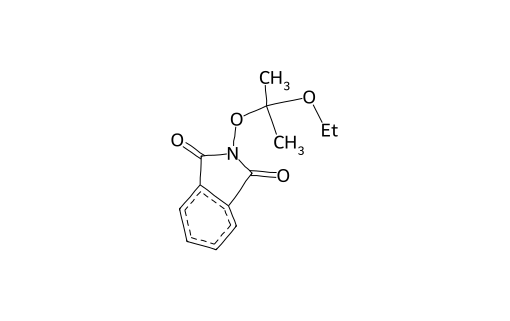 CCOC(C)(C)ON1C(=O)c2ccccc2C1=O